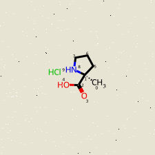 C[C@@]1(C(=O)O)CCCN1.Cl